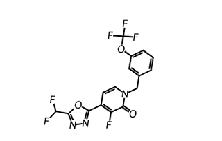 O=c1c(F)c(-c2nnc(C(F)F)o2)ccn1Cc1cccc(OC(F)(F)F)c1